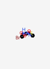 O=C1NC2(CCN(C(=O)c3nc4ccccc4s3)CC2)Oc2ccc(Br)cc21